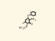 Cc1cc(Sc2ccccc2)c(N)c(=O)n1CC(=O)O